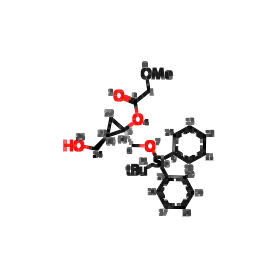 COCC(=O)O[C@]1(CO[Si](c2ccccc2)(c2ccccc2)C(C)(C)C)C[C@@H]1CO